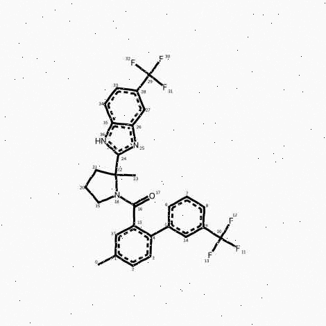 Cc1ccc(-c2cccc(C(F)(F)F)c2)c(C(=O)N2CCCC2(C)c2nc3cc(C(F)(F)F)ccc3[nH]2)c1